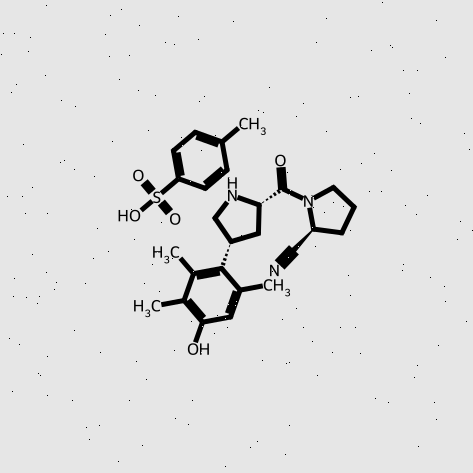 Cc1cc(O)c(C)c(C)c1[C@@H]1CN[C@H](C(=O)N2CCC[C@H]2C#N)C1.Cc1ccc(S(=O)(=O)O)cc1